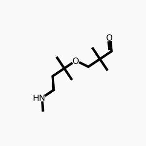 CNCCC(C)(C)OCC(C)(C)C=O